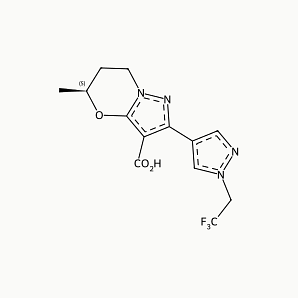 C[C@H]1CCn2nc(-c3cnn(CC(F)(F)F)c3)c(C(=O)O)c2O1